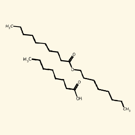 CCCCCCCC(=O)O.CCCCCCCCCC(=O)OCCCCCCCC